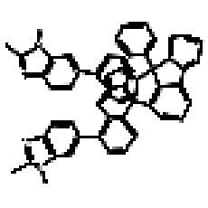 Cc1nc2ccc(-c3cccc4c(-c5cccc6c5C(c5ccccc5)(c5ccccc5)c5ccccc5-6)c5cccc(-c6ccc7nc(C)n(C)c7c6)c5cc34)cc2n1C